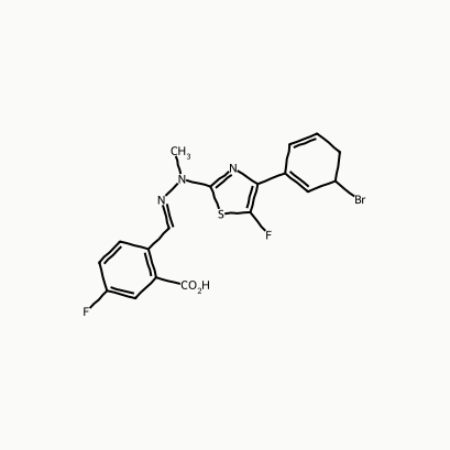 CN(/N=C/c1ccc(F)cc1C(=O)O)c1nc(C2=CC(Br)CC=C2)c(F)s1